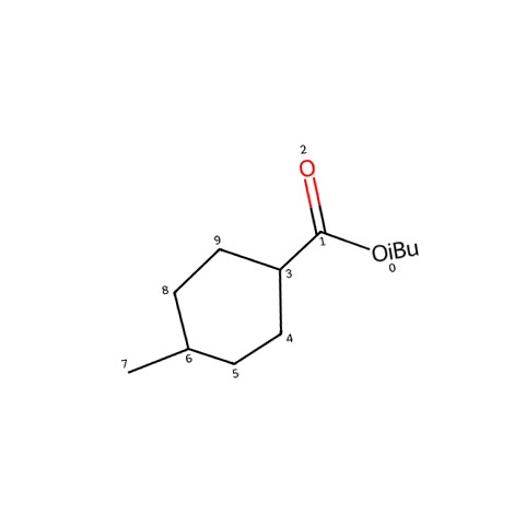 CC(C)COC(=O)C1CCC(C)CC1